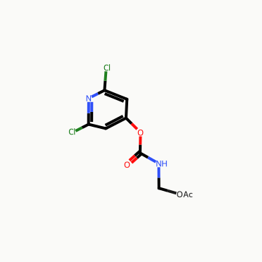 CC(=O)OCNC(=O)Oc1cc(Cl)nc(Cl)c1